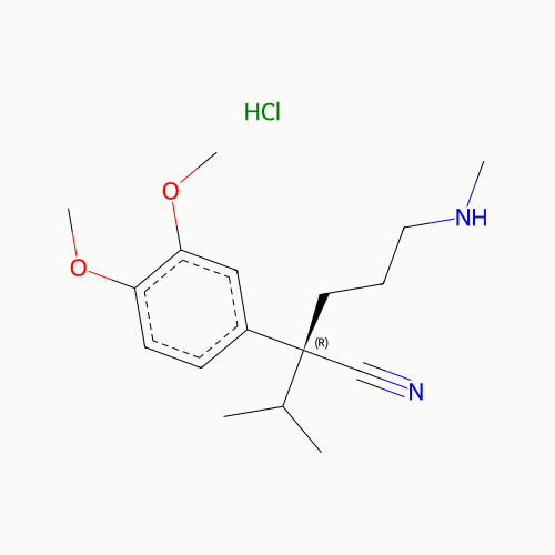 CNCCC[C@](C#N)(c1ccc(OC)c(OC)c1)C(C)C.Cl